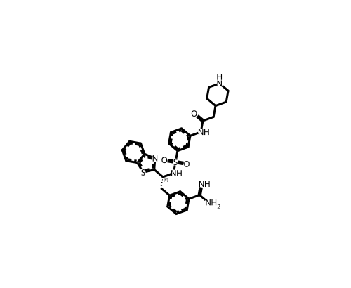 N=C(N)c1cccc(C[C@@H](NS(=O)(=O)c2cccc(NC(=O)CC3CCNCC3)c2)c2nc3ccccc3s2)c1